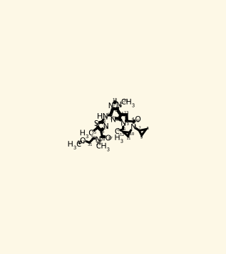 CCn1c(C(=O)N(C2CC2)C2CC2)cc2c3c(ncn3C)c(Nc3nc(C(=O)N(C)CCOC)c(C)s3)nc21